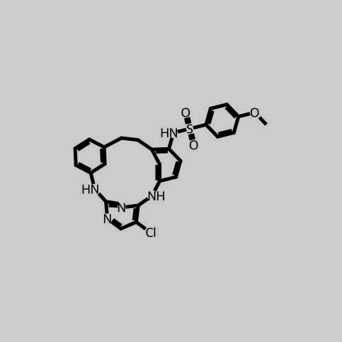 COc1ccc(S(=O)(=O)Nc2ccc3cc2CCc2cccc(c2)Nc2ncc(Cl)c(n2)N3)cc1